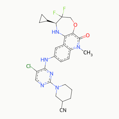 Cn1c(=O)c2c(c3cc(Nc4nc(N5CCCC(C#N)C5)ncc4Cl)ccc31)N[C@@H](C1CC1)C(F)(F)CO2